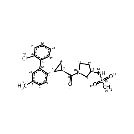 Cc1ccc([C@@H]2C[C@H]2C(=O)N2CC[C@@H](NS(C)(=O)=O)C2)c(-c2ccccc2Cl)c1